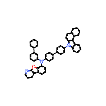 c1ccc(-c2cccc(N(c3ccc(-c4ccc(-n5c6ccccc6c6c7ccccc7ccc65)cc4)cc3)c3cccc4c3oc3ncccc34)c2)cc1